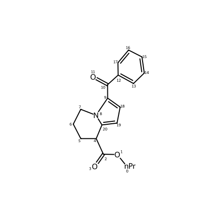 CCCOC(=O)C1CCCn2c(C(=O)c3ccccc3)ccc21